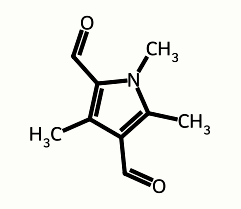 Cc1c(C=O)c(C)n(C)c1C=O